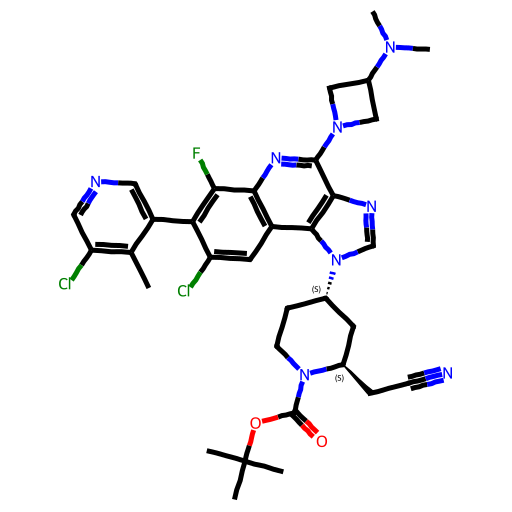 Cc1c(Cl)cncc1-c1c(Cl)cc2c(nc(N3CC(N(C)C)C3)c3ncn([C@H]4CCN(C(=O)OC(C)(C)C)[C@H](CC#N)C4)c32)c1F